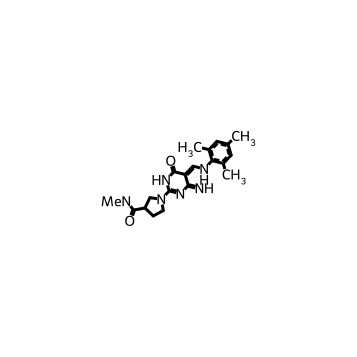 CNC(=O)C1CCN(C2=NC(=N)/C(=C\Nc3c(C)cc(C)cc3C)C(=O)N2)C1